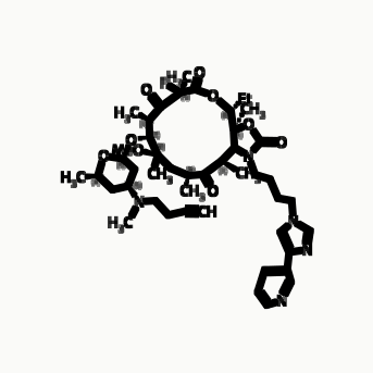 C#CCCN(C)[C@@H]1C[C@H](O[C@@H]2[C@@H](C)C(=O)[C@](C)(F)C(=O)O[C@H](CC)[C@@]3(C)OC(=O)N(CCCCn4cnc(-c5cccnc5)c4)C3[C@@H](C)C(=O)[C@H](C)C[C@@]2(C)OC)O[C@H](C)C1